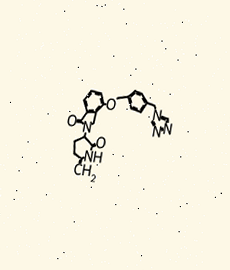 C=C1CCC(N2Cc3c(OCc4ccc(Cn5cnnc5)cc4)cccc3C2=O)C(=O)N1